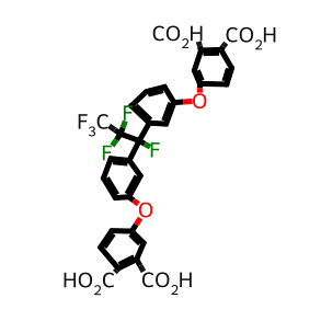 O=C(O)c1ccc(Oc2cccc(C(F)(c3cccc(Oc4ccc(C(=O)O)c(C(=O)O)c4)c3)C(F)(F)C(F)(F)F)c2)cc1C(=O)O